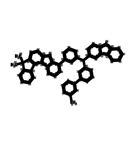 Cc1cccc(-c2cccc(N(c3cccc(-c4cccc5c4oc4ccc6c(c45)-c4ccccc4C6(C)C)c3)c3ccc4sc5ccccc5c4c3)c2)c1